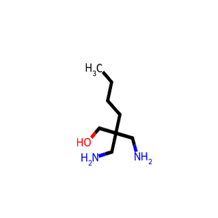 CCCCC(CN)(CN)CO